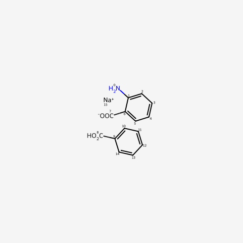 Nc1ccccc1C(=O)[O-].O=C(O)c1ccccc1.[Na+]